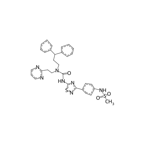 CS(=O)(=O)Nc1ccc(-c2nsc(NC(=O)N(CCc3ncccn3)CCC(c3ccccc3)c3ccccc3)n2)cc1